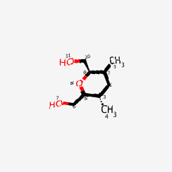 CC1C[C@H](C)C(CO)O[C@H]1CO